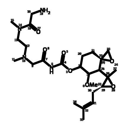 COC1C(OC(=O)NC(=O)CN(C)CCN(C)C(=O)CN)CC[C@]2(CO2)C1C1(C)O[C@@H]1CC=C(C)C